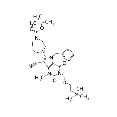 Cn1c(=O)n(COCC[Si](C)(C)C)c(=O)c2c1c(C#N)c(N1CCCN(C(=O)OC(C)(C)C)CC1)n2Cc1ccccc1